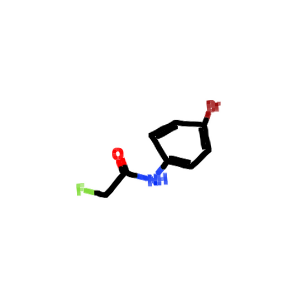 O=C(CF)Nc1ccc(Br)cc1